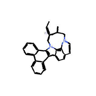 C/C=C1/Cn2c3c4ccccc4c4ccccc4c3c3ccc4ccn(c4c32)CC1C